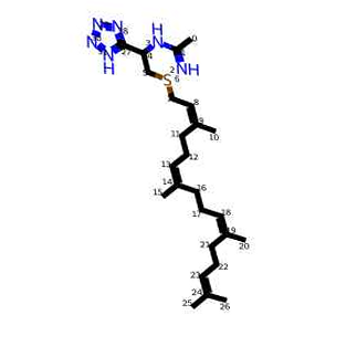 CC(=N)NC(CSCC=C(C)CCC=C(C)CCC=C(C)CCC=C(C)C)c1nnn[nH]1